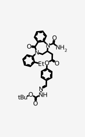 CCc1ccccc1N1CC(CC(=O)Oc2ccc(C=NNC(=O)OC(C)(C)C)cc2)N(C(N)=O)c2ccccc2C1=O